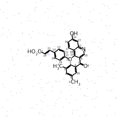 Cc1cc(C)cc(C(=O)c2cnc3cc(O)ccc3c2Oc2ccc(/C=C/C(=O)O)cc2)c1